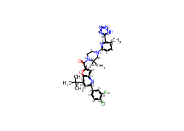 Cc1ccc(N2CCN(C(=O)c3cc4nc(-c5ccc(Cl)c(F)c5)cc(C(C)(C)C)c4o3)C(C)(C)C2)nc1-c1nnn[nH]1